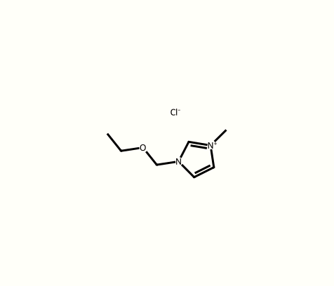 CCOCn1cc[n+](C)c1.[Cl-]